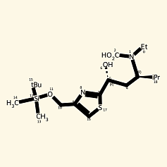 CCN(C(=O)O)[C@H](C[C@@H](O)c1nc(CO[Si](C)(C)C(C)(C)C)cs1)C(C)C